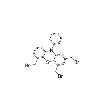 BrCc1cc(CBr)c2c(c1)N(c1ccccc1)c1cccc(CBr)c1S2